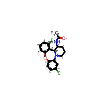 O=C(NC1CCCN2c3cc(Cl)ccc3Oc3cccc(F)c3C12)C(F)(F)F